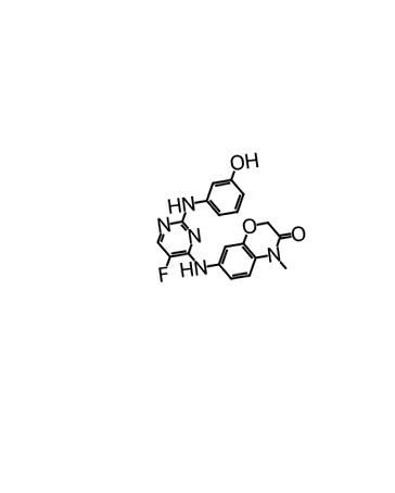 CN1C(=O)COc2cc(Nc3nc(Nc4cccc(O)c4)ncc3F)ccc21